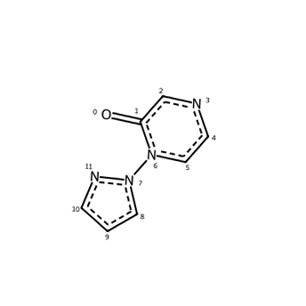 O=c1cnccn1-n1cccn1